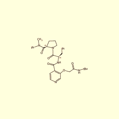 CC(C)C[C@@H](NC(=O)c1ccncc1OCC(=O)NC(C)(C)C)C(=O)N1CCC[C@@H]1C(=O)N(C)C(C)C